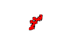 c1ccc(-c2ccnc3c2ccc2cc(-c4cc(-c5cccc(-c6cc(-c7cnc8c(ccc9c(-c%10ccccc%10)ccnc98)c7)cc(-c7ccccn7)c6)c5)cc(-c5ccccn5)c4)cnc23)cc1